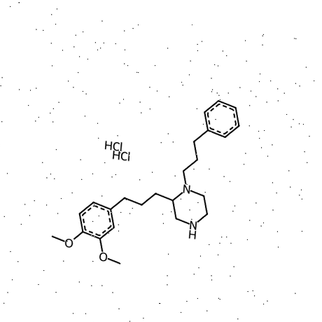 COc1ccc(CCCC2CNCCN2CCCc2ccccc2)cc1OC.Cl.Cl